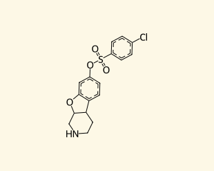 O=S(=O)(Oc1ccc2c(c1)OC1CNCCC21)c1ccc(Cl)cc1